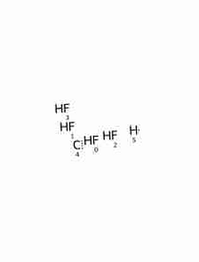 F.F.F.F.[C].[H]